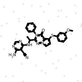 COc1cccc(Sc2ccn3nc(C(C)Nc4ncnc(N)c4C#N)n(-c4ccccc4)c(=O)c23)c1